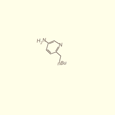 CCCCCc1ccc(N)cn1